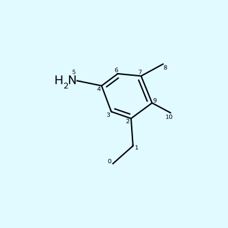 CCc1cc(N)cc(C)c1C